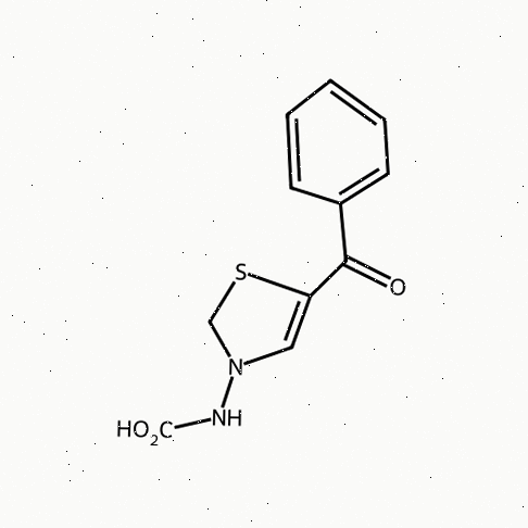 O=C(O)NN1C=C(C(=O)c2ccccc2)SC1